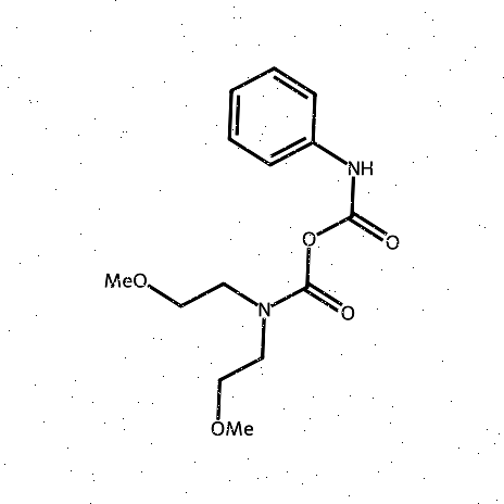 COCCN(CCOC)C(=O)OC(=O)Nc1ccccc1